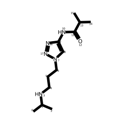 CC(C)NCCCn1cc(NC(=O)C(C)C)nn1